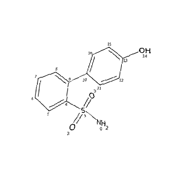 NS(=O)(=O)c1ccccc1-c1ccc(O)cc1